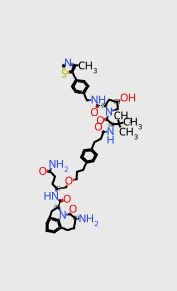 Cc1ncsc1-c1ccc(CNC(=O)[C@@H]2C[C@@H](O)CN2C(=O)[C@@H](NC(=O)CCc2ccc(CCCOC[C@H](CCC(N)=O)NC(=O)[C@@H]3Cc4cccc5c4N3C(=O)[C@@H](N)CC5)cc2)C(C)(C)C)cc1